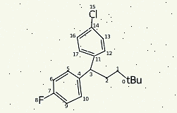 CC(C)(C)CCC(c1ccc(F)cc1)c1ccc(Cl)cc1